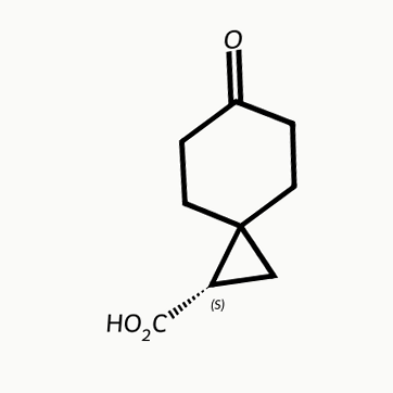 O=C1CCC2(CC1)C[C@@H]2C(=O)O